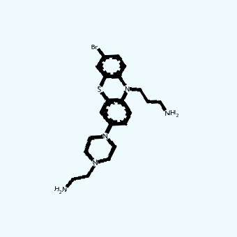 NCCCN1c2ccc(Br)cc2Sc2cc(N3CCN(CCN)CC3)ccc21